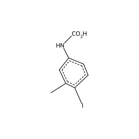 Cc1cc(NC(=O)O)ccc1I